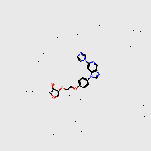 OC1COCC1OCCOc1ccc(-n2cnc3cnc(-n4ccnc4)cc32)cc1